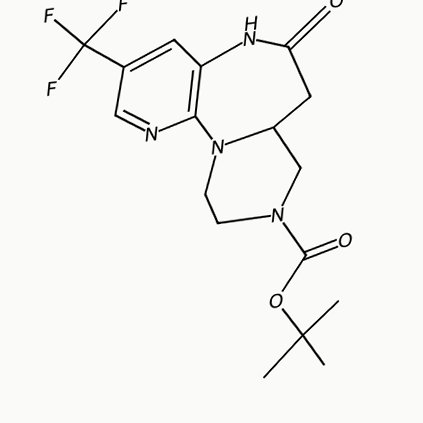 CC(C)(C)OC(=O)N1CCN2c3ncc(C(F)(F)F)cc3NC(=O)CC2C1